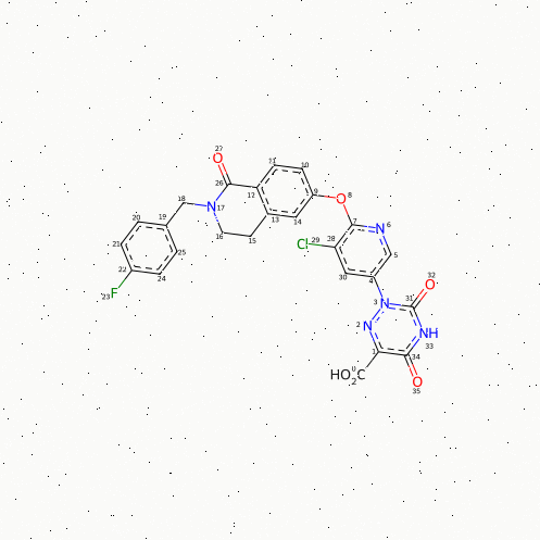 O=C(O)c1nn(-c2cnc(Oc3ccc4c(c3)CCN(Cc3ccc(F)cc3)C4=O)c(Cl)c2)c(=O)[nH]c1=O